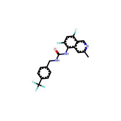 Cc1cc2c(NC(=O)NCc3ccc(C(F)(F)F)cc3)c(F)cc(F)c2cn1